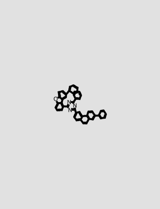 c1ccc(-c2ccc3c(ccc4ccc(-c5nc(-c6ccccc6)nc(-c6cccc7oc8ccc(-c9ccccc9)cc8c67)n5)cc43)c2)cc1